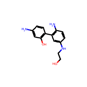 Nc1ccc(-c2cc(NCCO)ccc2N)c(O)c1